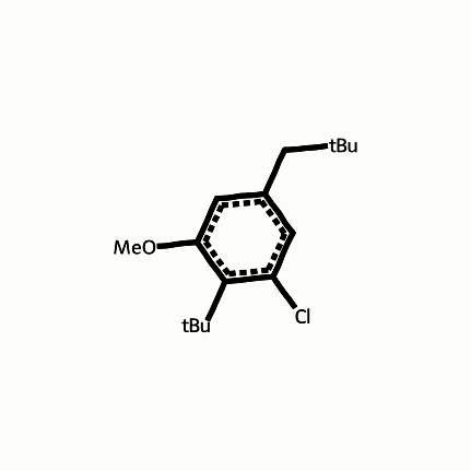 COc1cc(CC(C)(C)C)cc(Cl)c1C(C)(C)C